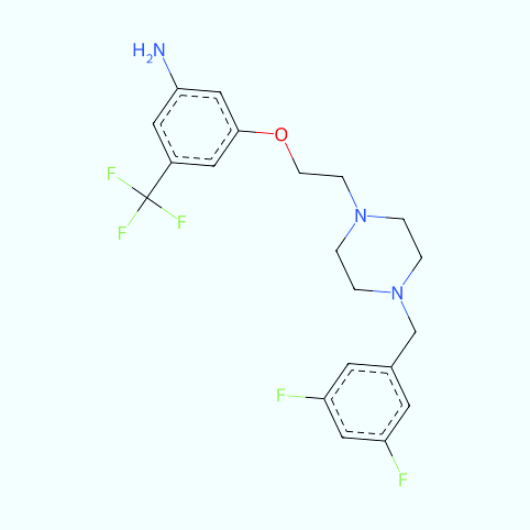 Nc1cc(OCCN2CCN(Cc3cc(F)cc(F)c3)CC2)cc(C(F)(F)F)c1